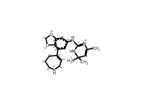 CC1=CC(C)(N)NC(Nc2cc3c(c(C4=CCNCCC4)c2)OCO3)=N1